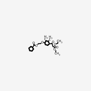 CCOP(=O)(CC(=O)c1ccc(OCCOC(=O)c2ccccc2)c(C)c1C)OCC